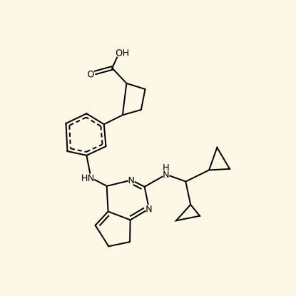 O=C(O)C1CCC1c1cccc(NC2N=C(NC(C3CC3)C3CC3)N=C3CCC=C32)c1